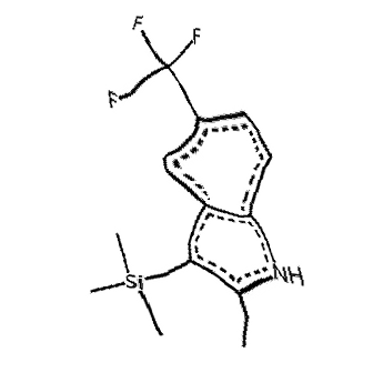 Cc1[nH]c2ccc(C(F)(F)F)cc2c1[Si](C)(C)C